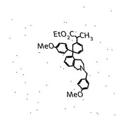 CCOC(=O)C(C)C1=CC=CC(c2ccc(OC)cc2)(c2cccc3c2CCN(Cc2ccc(OC)cc2)C3)C1